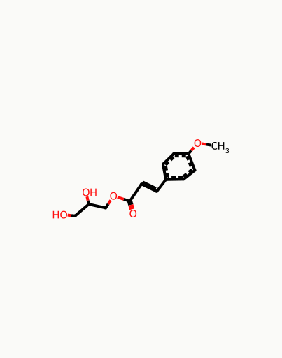 COc1ccc(C=CC(=O)OCC(O)CO)cc1